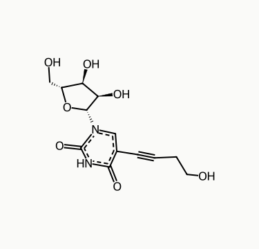 O=c1[nH]c(=O)n([C@@H]2O[C@H](CO)[C@@H](O)[C@H]2O)cc1C#CCCO